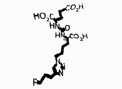 O=C(O)CCC(NC(=O)N[C@@H](CCCCn1cc(CCCF)nn1)C(=O)O)C(=O)O